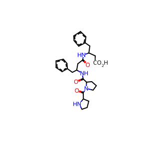 O=C(O)CC(Cc1ccccc1)NC(=O)CC(Cc1ccccc1)NC(=O)C1CCCN1C(=O)C1CCCN1